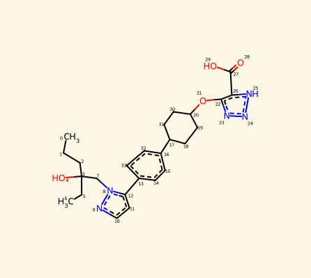 CCCC(O)(CC)Cn1nccc1-c1ccc(C2CCC(Oc3nn[nH]c3C(=O)O)CC2)cc1